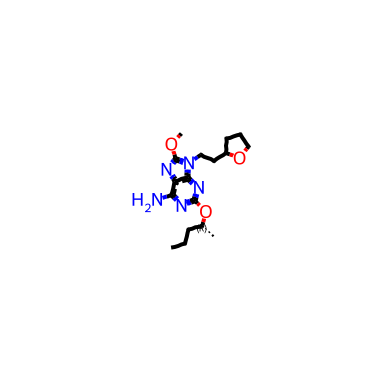 CCC[C@@H](C)Oc1nc(N)c2nc(OC)n(CCC3CCCO3)c2n1